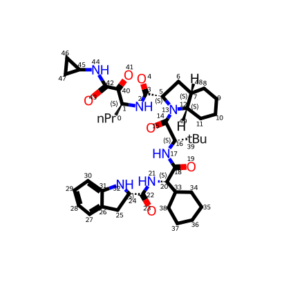 CCC[C@H](NC(=O)[C@@H]1C[C@@H]2CCCC[C@@H]2N1C(=O)[C@@H](NC(=O)[C@@H](NC(=O)[C@@H]1Cc2ccccc2N1)C1CCCCC1)C(C)(C)C)C(=O)C(=O)NC1CC1